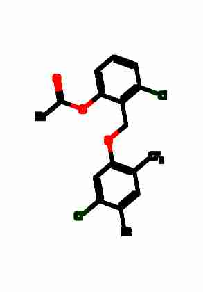 CCC(=O)Oc1cccc(Cl)c1COc1cc(Cl)c(CC)cc1C(F)(F)F